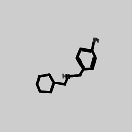 CC(C)c1ccc(CNCC2CCCCC2)cc1